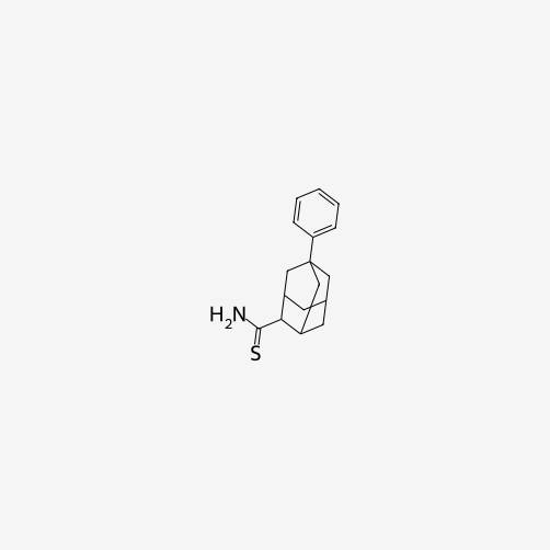 NC(=S)C1C2CC3CC1CC(c1ccccc1)(C3)C2